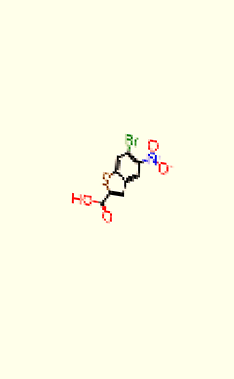 O=C(O)c1cc2cc([N+](=O)[O-])c(Br)cc2s1